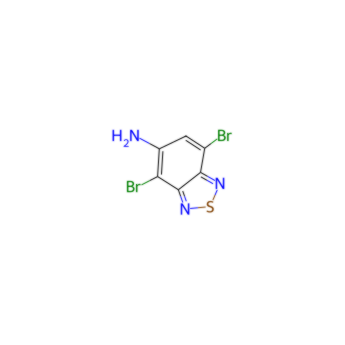 Nc1cc(Br)c2nsnc2c1Br